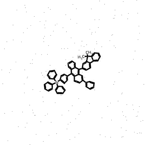 CC1(C)c2ccccc2-c2ccc(-c3c4ccccc4c(-c4ccc([Si](c5ccccc5)(c5ccccc5)c5ccccc5)cc4)c4ccc(-c5ccccc5)cc34)cc21